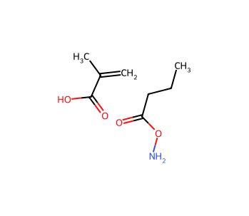 C=C(C)C(=O)O.CCCC(=O)ON